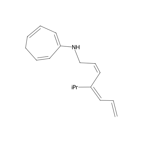 C=C/C=C(\C=C/CNC1=CC=CCC=C1)C(C)C